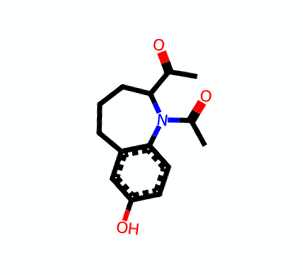 CC(=O)C1CCCc2cc(O)ccc2N1C(C)=O